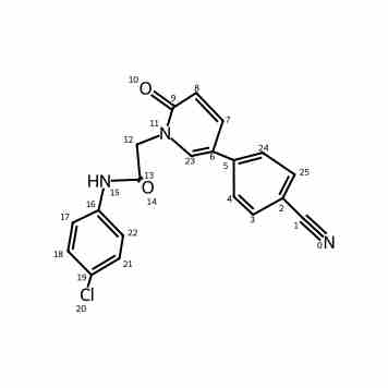 N#Cc1ccc(-c2ccc(=O)n(CC(=O)Nc3ccc(Cl)cc3)c2)cc1